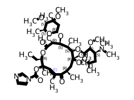 CC[C@H]1OC(=O)[C@H](C)[C@@H](O[C@H]2C[C@@](C)(OC)[C@@H](OC)[C@H](C)O2)[C@H](C)[C@@H](O[C@@H]2O[C@H](C)C[C@H](N(C)C)[C@H]2OC)[C@](C)(OC)C[C@@H](C)C(=O)/C(C)=C/[C@]1(C)OC(=O)n1ccnc1